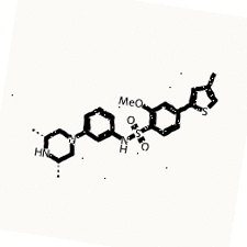 COc1cc(-c2cc(C)cs2)ccc1S(=O)(=O)Nc1cccc(N2C[C@@H](C)N[C@@H](C)C2)c1